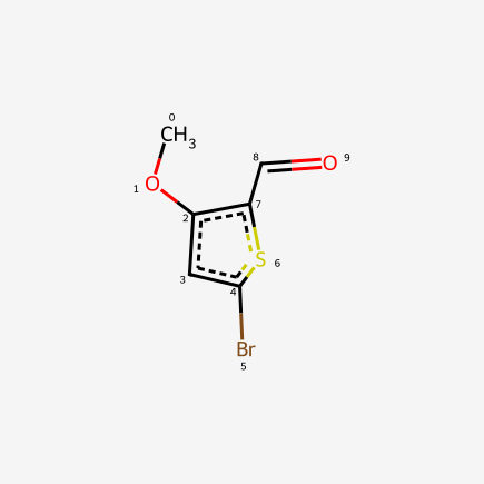 COc1cc(Br)sc1C=O